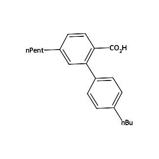 CCCCCc1ccc(C(=O)O)c(-c2ccc(CCCC)cc2)c1